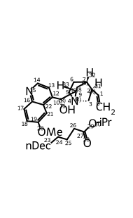 C=C[C@H]1C[N@]2CC[C@H]1C[C@H]2[C@H](O)c1ccnc2ccc(OC)cc12.CCCCCCCCCCCCCC(=O)OC(C)C